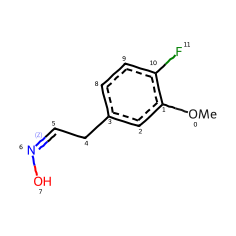 COc1cc(C/C=N\O)ccc1F